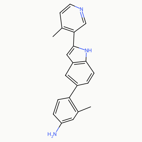 Cc1cc(N)ccc1-c1ccc2[nH]c(-c3cnccc3C)cc2c1